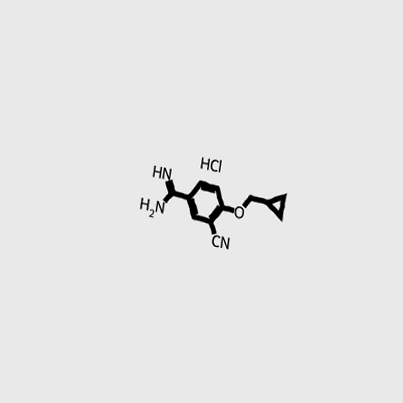 Cl.N#Cc1cc(C(=N)N)ccc1OCC1CC1